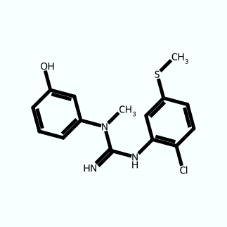 CSc1ccc(Cl)c(NC(=N)N(C)c2cccc(O)c2)c1